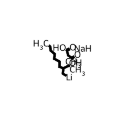 O=C(O)CC(=O)O.[Li][CH2]C(CCCCCCC)C(C)C.[NaH]